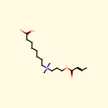 CC=CC(=O)OCCC[N+](C)(C)CCCCCCCC(=O)[O-]